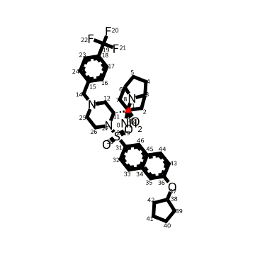 NC1CC2CCC(C1)N2C(=O)[C@H]1CN(Cc2ccc(C(F)(F)F)cc2)CCN1S(=O)(=O)c1ccc2cc(OC3CCCC3)ccc2c1